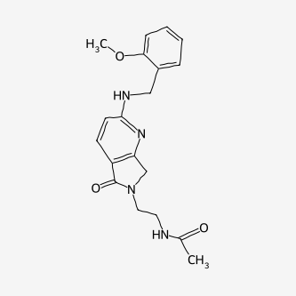 COc1ccccc1CNc1ccc2c(n1)CN(CCNC(C)=O)C2=O